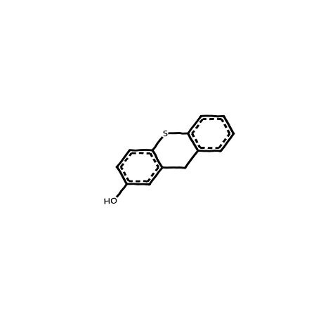 Oc1ccc2c(c1)Cc1ccccc1S2